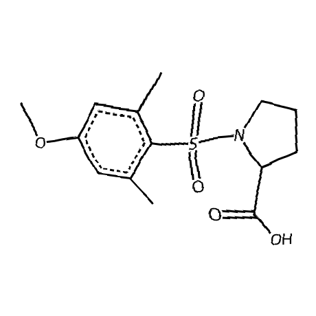 COc1cc(C)c(S(=O)(=O)N2CCCC2C(=O)O)c(C)c1